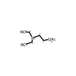 CC(=O)OCCN(CC#N)CC#N